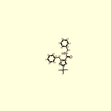 CC(C)(C)c1cc(C(=O)NCc2ccccc2)n(Cc2ccccc2)n1